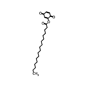 CCCCCCCCCCCCCCCCCC(=O)OC1=CC(=O)C=CC1=O